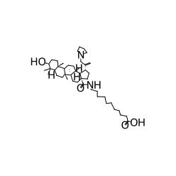 C=C(CN1CCCC1)[C@@H]1CC[C@]2(C(=O)NCCCCCCCCCCC(=O)O)CC[C@]3(C)[C@H](CCC4[C@@]5(C)CC[C@H](O)C(C)(C)[C@@H]5CC[C@]43C)[C@@H]12